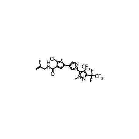 C=C(F)CNC(=O)c1cc(-c2cnn(-c3c(C(F)(F)F)c(C(F)(F)C(F)(F)F)nn3C)c2)sc1Cl